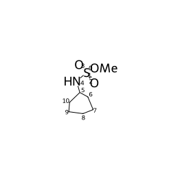 COS(=O)(=O)NC1CCCCC1